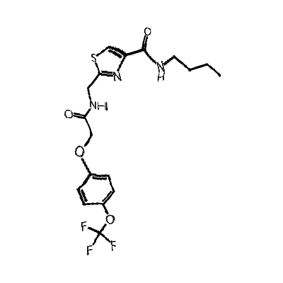 CCCCNC(=O)c1csc(CNC(=O)COc2ccc(OC(F)(F)F)cc2)n1